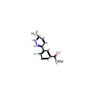 COC(=O)c1ccc(F)c(-c2ccc(C)nn2)c1